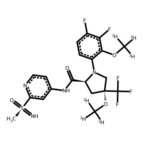 [2H]C([2H])([2H])Oc1c(N2C[C@@](OC([2H])([2H])[2H])(C(F)(F)F)C[C@H]2C(=O)Nc2ccnc([S@](C)(=N)=O)c2)ccc(F)c1F